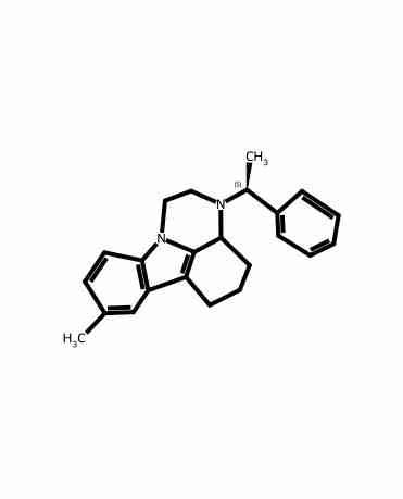 Cc1ccc2c(c1)c1c3n2CCN([C@@H](C)c2ccccc2)C3CCC1